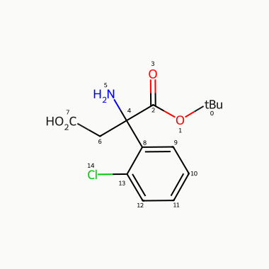 CC(C)(C)OC(=O)C(N)(CC(=O)O)c1ccccc1Cl